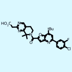 CC(C)(C)c1cc(-c2ccc(Cl)c(F)c2)nc2cc(C(=O)N3CCc4cnc(CC(=O)O)nc4C3(C)C)oc12